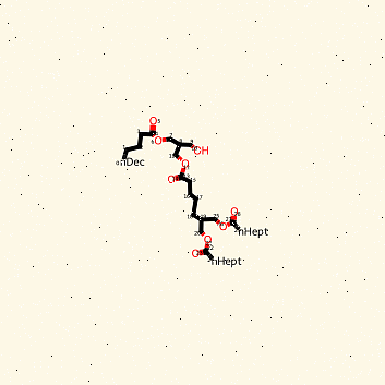 CCCCCCCCCCCCCC(=O)OCC(CO)COC(=O)CCCCC(COC(=O)CCCCCCC)COC(=O)CCCCCCC